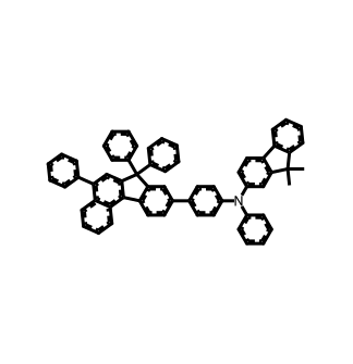 CC1(C)c2ccccc2-c2ccc(N(c3ccccc3)c3ccc(-c4ccc5c(c4)C(c4ccccc4)(c4ccccc4)c4cc(-c6ccccc6)c6ccccc6c4-5)cc3)cc21